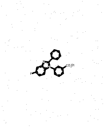 CCOC(=O)c1cccc(-n2c(-c3ccccc3)nc3cc(F)ccc32)c1